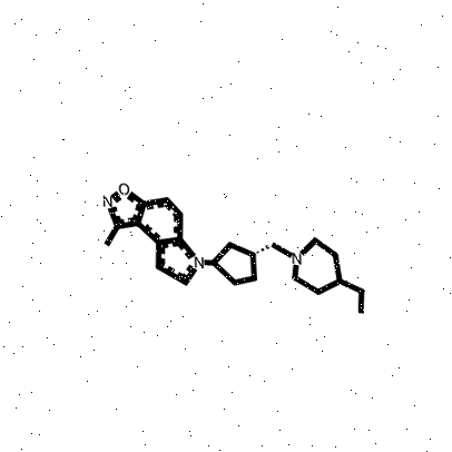 CCC1CCN(C[C@@H]2CCC(n3ccc4c5c(C)noc5ccc43)C2)CC1